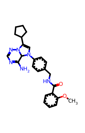 COc1ccccc1C(=O)NCc1ccc(N2C=C(C3CCCC3)N3N=CN=C(N)C32)cc1